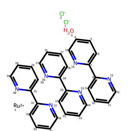 O.[Cl-].[Cl-].[Ru+2].c1ccc(-c2ccccn2)nc1.c1ccc(-c2ccccn2)nc1.c1ccc(-c2ccccn2)nc1